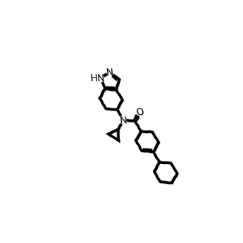 O=C(C1CC=C(C2CCCCC2)CC1)N(C1CC1)C1CCc2[nH]ncc2C1